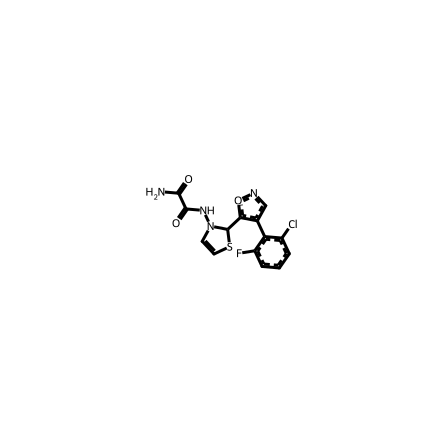 NC(=O)C(=O)NN1C=CSC1c1oncc1-c1c(F)cccc1Cl